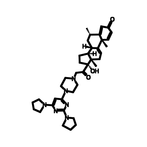 C[C@H]1C[C@@H]2C(=CC[C@@]3(C)[C@H]2CC[C@]3(O)C(=O)CN2CCN(c3cc(N4CCCC4)nc(N4CCCC4)n3)CC2)[C@@]2(C)C=CC(=O)C=C12